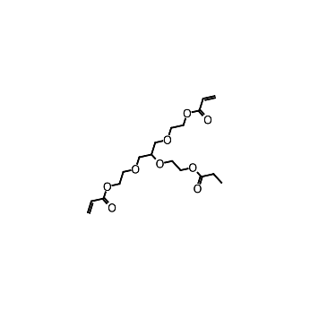 C=CC(=O)OCCOCC(COCCOC(=O)C=C)OCCOC(=O)CC